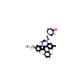 Cc1ccc2c(c1)N(CCN1CCCC(=O)CC1)CCn1c-2c(C2CCCCC2)c2ccc(C(=O)O)cc21